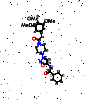 COc1cc(CC(=O)N2CCN([n+]3cc([N-]C(=O)C4CCCCC4)on3)CC2)cc(OC)c1OC